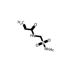 C=CC(=O)NCS(=O)(=O)NC(C)=O